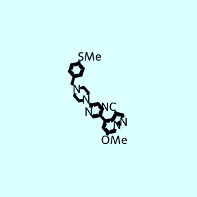 COc1cc(-c2ccc(N3CCN(Cc4ccc(SC)cc4)CC3)nc2)c2c(C#N)cnn2c1